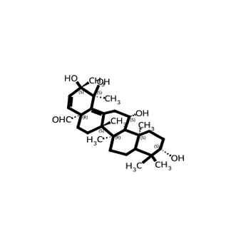 CC1(C)C2CC[C@]3(C)C([C@@H](O)CC4=C5[C@](C=O)(C=C[C@](C)(O)[C@@]5(C)O)CC[C@]43C)[C@@]2(C)CC[C@@H]1O